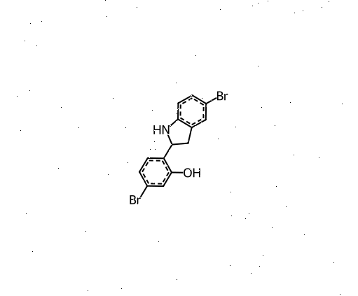 Oc1cc(Br)ccc1C1Cc2cc(Br)ccc2N1